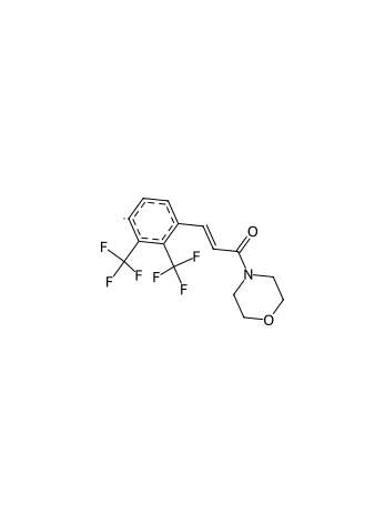 O=C(/C=C/c1cc[c]c(C(F)(F)F)c1C(F)(F)F)N1CCOCC1